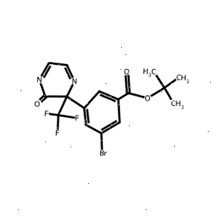 CC(C)(C)OC(=O)c1cc(Br)cc(C2(C(F)(F)F)N=CC=NC2=O)c1